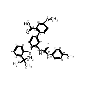 COc1ccc(-c2ccc(Oc3ccccc3C(C)(C)C)c(NC(=O)Nc3ccc(C)cc3)c2)c(C(=O)O)c1